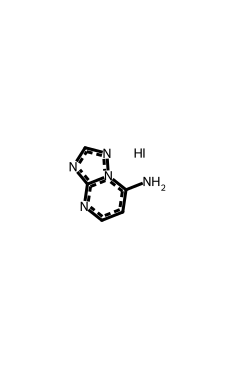 I.Nc1ccnc2ncnn12